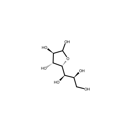 OC[C@H](O)[C@@H](O)[C@H]1OC(O)[C@H](O)[C@H]1O